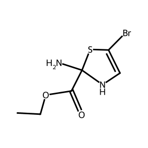 CCOC(=O)C1(N)NC=C(Br)S1